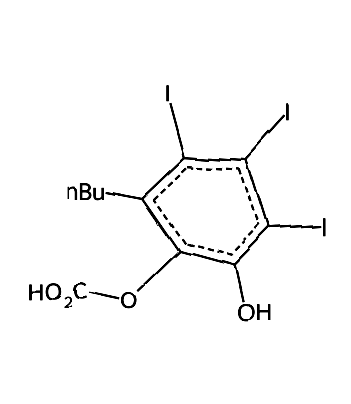 CCCCc1c(I)c(I)c(I)c(O)c1OC(=O)O